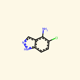 Nc1c(Cl)ccc2[nH]ncc12